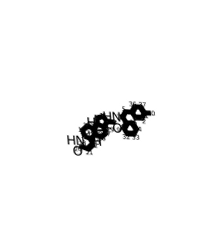 Cc1ccc(CC(NC(=O)C2CC[C@H]3[C@@H]4CCC5NC(=O)C=C[C@]5(C)[C@@H]4CC[C@]23C)c2ccccc2)cc1